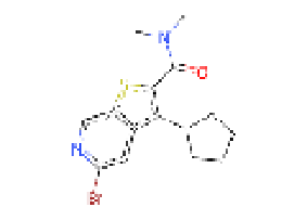 CN(C)C(=O)c1sc2cnc(Br)cc2c1C1CCCC1